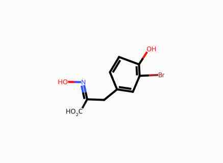 O=C(O)C(Cc1ccc(O)c(Br)c1)=NO